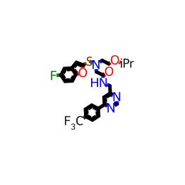 CC(C)OCCN(CC(=O)NCc1cc(-c2ccc(C(F)(F)F)cc2)ncn1)Sc1cc2cc(F)ccc2o1